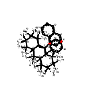 [2H]C1([2H])C2=C(c3cccc4ccccc34)C3(c4ccccc4)C([2H])([2H])C([2H])([2H])C([2H])([2H])C([2H])([2H])C3([2H])C([2H])([2H])C2([2H])C([2H])([2H])C([2H])([2H])C1([2H])[2H]